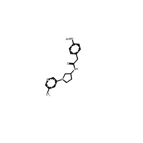 CC(=O)Nc1ccc(CC(=O)NC2CCN(c3cncc(C(F)(F)F)c3)C2)cc1